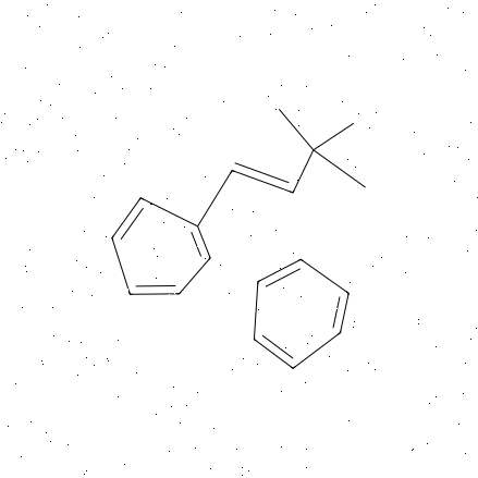 CC(C)(C)C=Cc1ccccc1.c1ccccc1